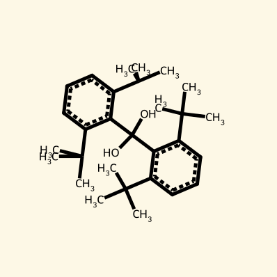 CC(C)(C)c1cccc(C(C)(C)C)c1C(O)(O)c1c(C(C)(C)C)cccc1C(C)(C)C